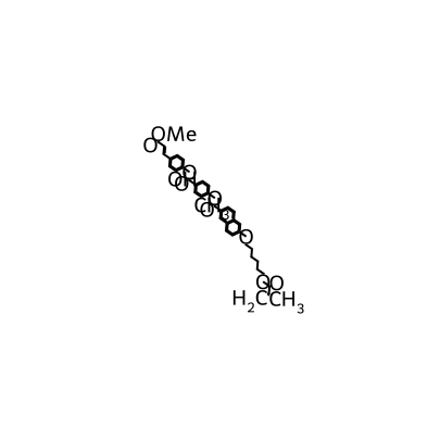 C=C(C)C(=O)OCCCCCCOc1ccc2cc(C(=O)Oc3ccc(C(=O)Oc4ccc(/C=C/C(=O)OC)cc4O)cc3C)ccc2c1